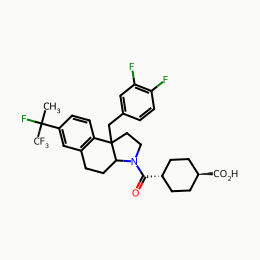 CC(F)(c1ccc2c(c1)CCC1N(C(=O)[C@H]3CC[C@H](C(=O)O)CC3)CCC21Cc1ccc(F)c(F)c1)C(F)(F)F